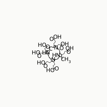 Cc1c(CCC(=O)O)c2cc3nc(cc4[nH]c(cc5nc(cc1[nH]2)C(CCC(=O)O)=C5CCC(=O)O)c(CCC(=O)O)c4CC(=O)O)C(CCC(=O)O)=C3CC(=O)O